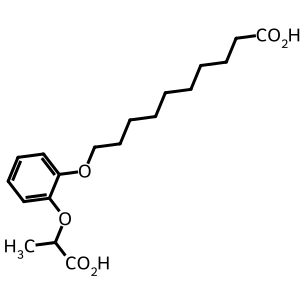 CC(Oc1ccccc1OCCCCCCCCCC(=O)O)C(=O)O